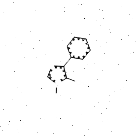 Cc1c(-c2ccccc2)s[c][n+]1[O-]